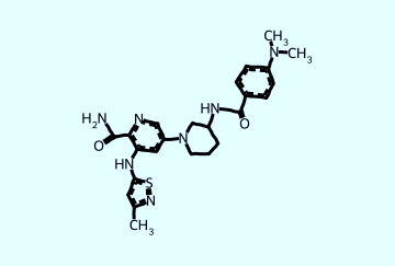 Cc1cc(Nc2cc(N3CCCC(NC(=O)c4ccc(N(C)C)cc4)C3)cnc2C(N)=O)sn1